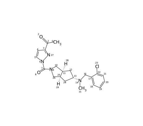 CC(=O)c1ccn(C(=O)N2C[C@H]3C[C@H](N(C)Cc4ccccc4Cl)C[C@H]3C2)n1